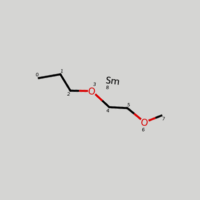 CCCOCCOC.[Sm]